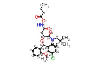 CCCC(=O)ONC(=O)CC1OC(c2ccccc2OC)c2cc(Cl)ccc2N(CC(C)(C)C)C1=O